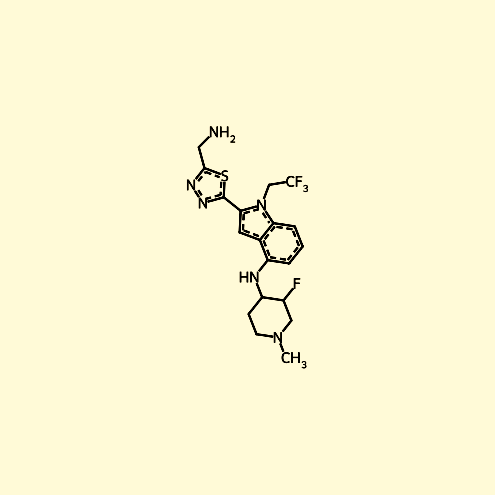 CN1CCC(Nc2cccc3c2cc(-c2nnc(CN)s2)n3CC(F)(F)F)C(F)C1